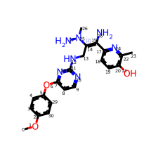 COc1ccc(Oc2ccnc(NC/C(=C(/N)c3ccc(O)c(C)n3)N(C)N)n2)cc1